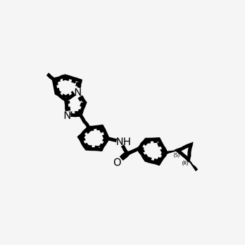 Cc1ccn2cc(-c3cccc(NC(=O)c4ccc([C@H]5C[C@H]5C)cc4)c3)nc2c1